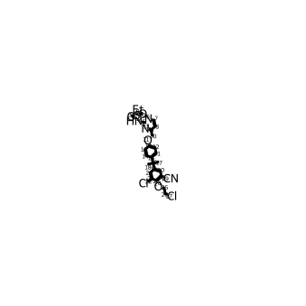 CCS(=O)(=O)Nc1nccc(COc2ccc(C(C)(C)c3cc(Cl)c(OCCCl)c(C#N)c3)cc2)n1